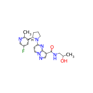 Cc1ncc(F)cc1[C@H]1CCCN1c1ccn2ncc(C(=O)NCC(C)O)c2n1